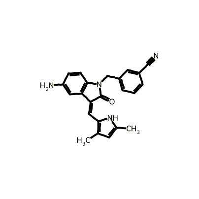 Cc1cc(C)c(/C=C2\C(=O)N(Cc3cccc(C#N)c3)c3ccc(N)cc32)[nH]1